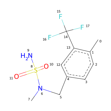 Cc1ccc(CN(C)S(N)(=O)=O)cc1C(F)(F)F